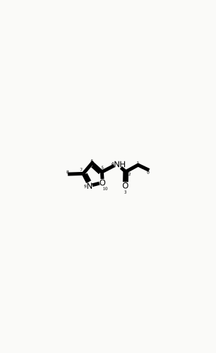 CCC(=O)Nc1cc(C)no1